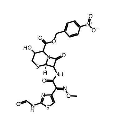 CON=C(C(=O)NC1C(=O)N2C(C(=O)OCc3ccc([N+](=O)[O-])cc3)C(O)CS[C@H]12)c1csc(NC=O)n1